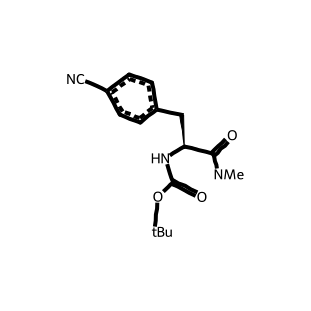 CNC(=O)[C@H](Cc1ccc(C#N)cc1)NC(=O)OC(C)(C)C